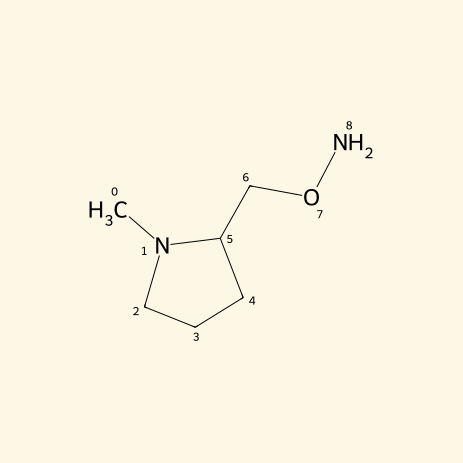 CN1CCCC1CON